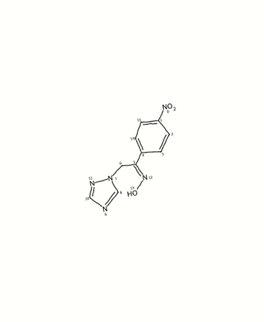 O=[N+]([O-])c1ccc(C(Cn2cncn2)=NO)cc1